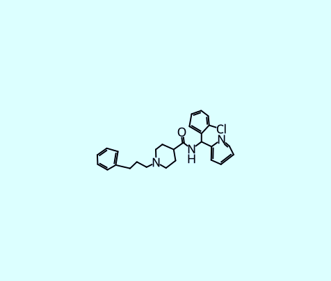 O=C(NC(c1ccccn1)c1ccccc1Cl)C1CCN(CCCc2ccccc2)CC1